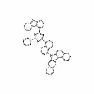 c1ccc(-c2nc(-c3cccc4c(-n5c6cc7ccccc7cc6c6c7ccccc7ccc65)cccc34)nc(-c3cccc4sc5ccccc5c34)n2)cc1